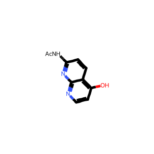 CC(=O)Nc1ccc2c(O)ccnc2n1